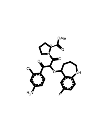 COC(=O)[C@@H]1CCCN1C(=O)C(OC1CCCNc2ccc(F)cc21)C(=O)c1ccc(N)cc1Cl